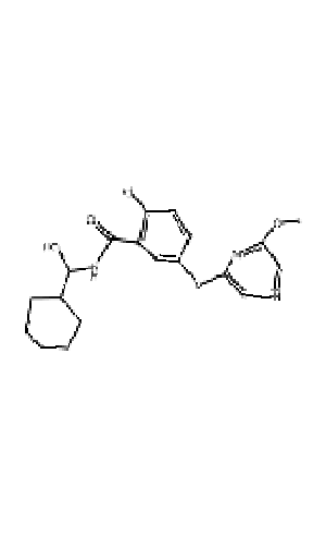 COc1cncc(Oc2ccc(Cl)c(C(=O)NC(O)C3CCCCC3)c2)n1